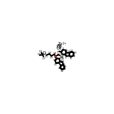 CC1=CC=C2C(=Cc3ccccc32)C1[Si](C)(CCCCCCOC(C)(C)C)C1C(C)=CC=C2C1=Cc1ccccc12.[Cl-].[Cl-].[Zr+2]